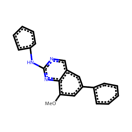 COc1cc(-c2ccccc2)cc2cnc(Nc3ccccc3)nc12